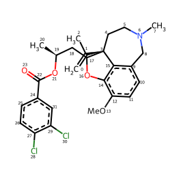 C=C(C)[C@@]12CCN(C)Cc3ccc(OC)c(c31)OC2C[C@H](C)OC(=O)c1ccc(Cl)c(Cl)c1